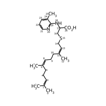 CC(C)=CCCC(C)=CCCC(C)=CCSCC(Nc1ncccc1C)C(=O)O